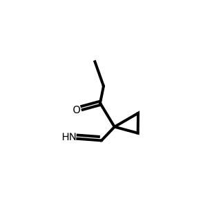 CCC(=O)C1(C=N)CC1